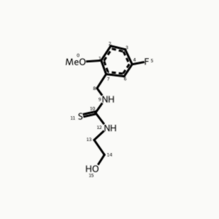 COc1ccc(F)cc1CNC(=S)NCCO